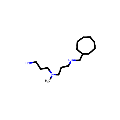 CN(CCC[NH])CCCNCC1CCCCCCC1